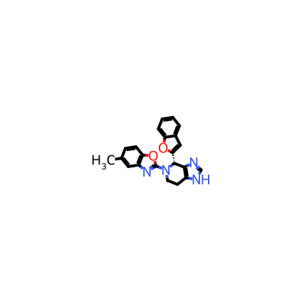 Cc1ccc2oc(N3CCc4[nH]cnc4[C@H]3c3cc4ccccc4o3)nc2c1